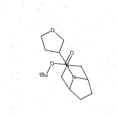 CC(C)(C)OC(=O)N1C2CCC1CN(C1CCOC1)C2